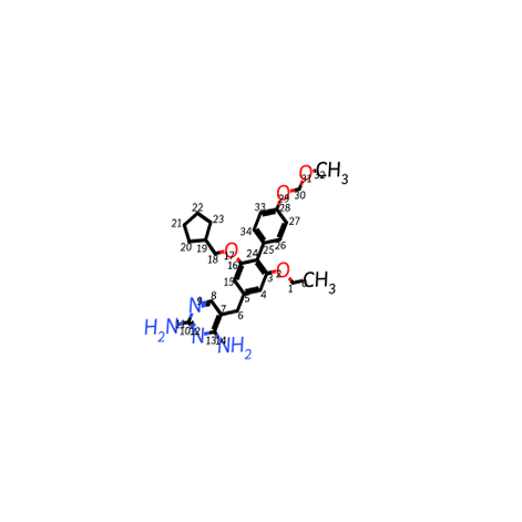 CCOc1cc(Cc2cnc(N)nc2N)cc(OCC2CCCC2)c1-c1ccc(OCOC)cc1